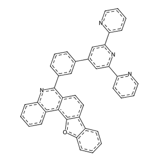 c1ccc(-c2cc(-c3cccc(-c4nc5ccccc5c5c4ccc4c6ccccc6oc45)c3)cc(-c3ccccn3)n2)nc1